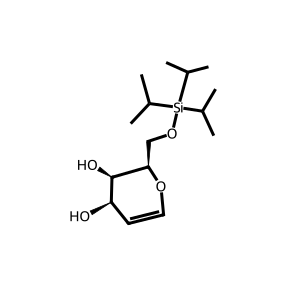 CC(C)[Si](OC[C@H]1OC=C[C@@H](O)[C@H]1O)(C(C)C)C(C)C